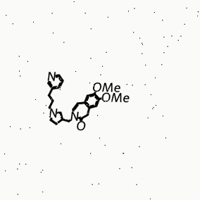 COc1cc2c(cc1OC)CC(=O)N(CC1CCN(CCCc3cccnc3)C1)C=C2